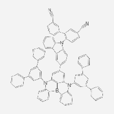 N#Cc1cccc(-c2cc(C#N)ccc2-n2c3ccccc3c3cc(-c4cc5c6c(c4)N(c4cc(-c7ccccc7)cc(-c7ccccc7)c4)c4ccccc4B6c4ccccc4N5c4cc(-c5ccccc5)cc(-c5ccccc5)c4)ccc32)c1